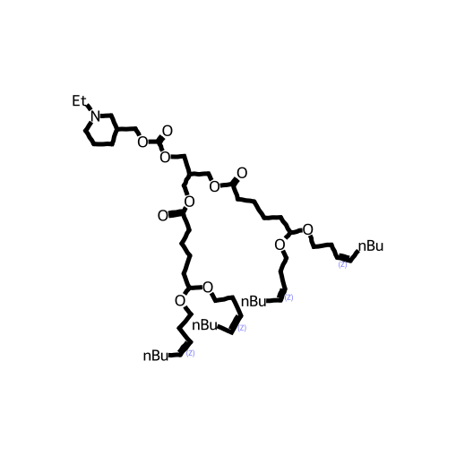 CCCC/C=C\CCOC(CCCCC(=O)OCC(COC(=O)CCCCC(OCC/C=C\CCCC)OCC/C=C\CCCC)COC(=O)OCC1CCCN(CC)C1)OCC/C=C\CCCC